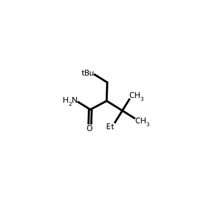 CCC(C)(C)C(CC(C)(C)C)C(N)=O